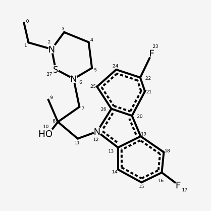 CCN1CCCN(CC(C)(O)Cn2c3ccc(F)cc3c3cc(F)ccc32)S1